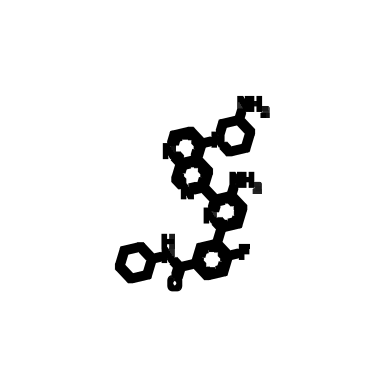 Nc1ccc(-c2cc(C(=O)NC3CCCCC3)ccc2F)nc1-c1cc2c(N3CCCC(N)C3)ccnc2cn1